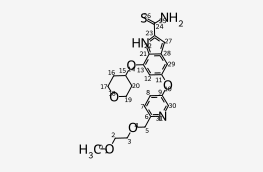 COCCOCc1ccc(Oc2cc(OC3CCOCC3)c3[nH]c(C(N)=S)cc3c2)cn1